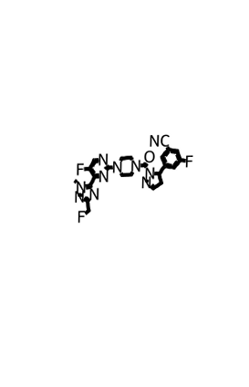 Cn1nc(CF)nc1-c1nc(N2CCN(C(=O)N3N=CCC3c3cc(F)cc(C#N)c3)CC2)ncc1F